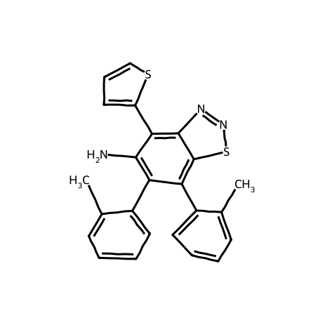 Cc1ccccc1-c1c(N)c(-c2cccs2)c2nnsc2c1-c1ccccc1C